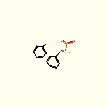 Cc1ccccc1.Cc1ccccc1.N[SH](=O)=O